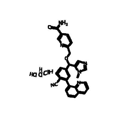 Cl.Cl.Cl.Cn1cncc1C(OCc1ccc(C(N)=O)cn1)c1ccc(C#N)c(-c2cccc3cccnc23)c1